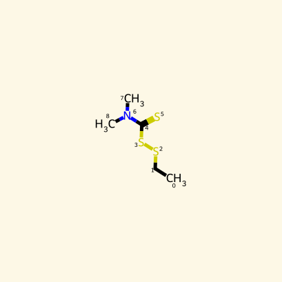 CCSSC(=S)N(C)C